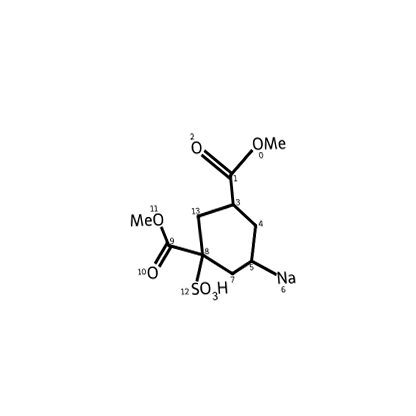 COC(=O)C1C[CH]([Na])CC(C(=O)OC)(S(=O)(=O)O)C1